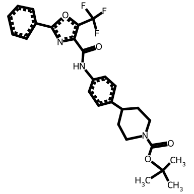 CC(C)(C)OC(=O)N1CCC(c2ccc(NC(=O)c3nc(-c4ccccc4)oc3C(F)(F)F)cc2)CC1